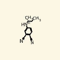 CC[C@@H](C)Nc1ccc(C#N)c(C#N)c1